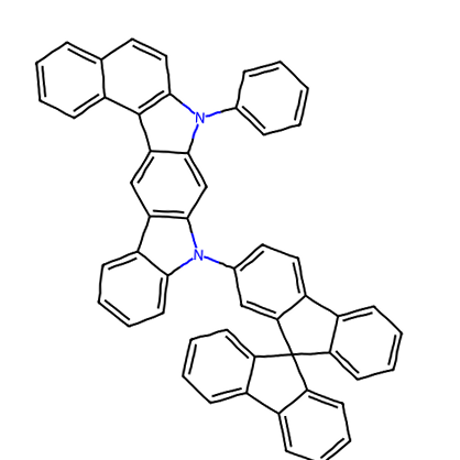 c1ccc(-n2c3cc4c(cc3c3c5ccccc5ccc32)c2ccccc2n4-c2ccc3c(c2)C2(c4ccccc4-c4ccccc42)c2ccccc2-3)cc1